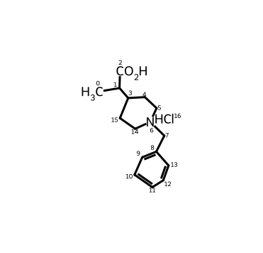 CC(C(=O)O)C1CCN(Cc2ccccc2)CC1.Cl